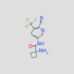 N#CC1=C(C(F)(F)F)CC=C(NC(=O)C2(N)CCC2)C=N1